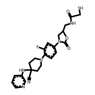 N#CC1(Nc2cccnc2)CCN(c2ccc(N3CC(CNC(=O)CS)OC3=O)cc2F)CC1